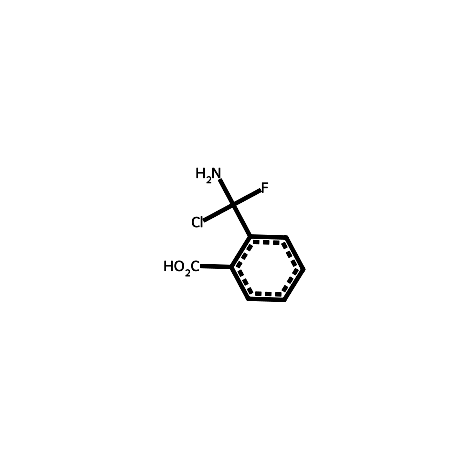 NC(F)(Cl)c1ccccc1C(=O)O